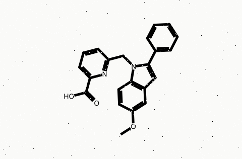 COc1ccc2c(c1)cc(-c1ccccc1)n2Cc1cccc(C(=O)O)n1